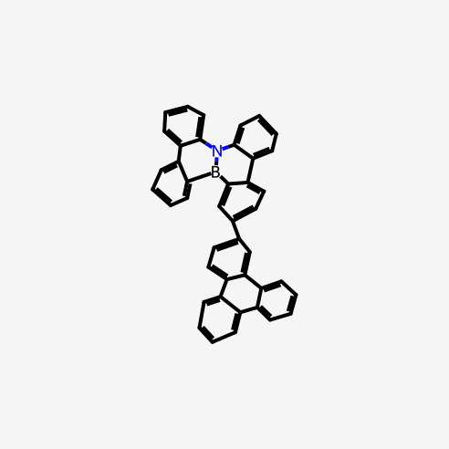 c1ccc2c(c1)B1c3cc(-c4ccc5c6ccccc6c6ccccc6c5c4)ccc3-c3ccccc3N1c1ccccc1-2